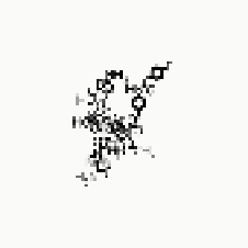 CC(C)C[C@H](NC(=O)OCc1ccc(NC(=O)Cc2ccc(F)cc2)cc1)C(=O)O[C@H]1[C@@H](O)[C@H](n2cnc3c(N)ncnc32)O[C@@H]1COP(=O)(O)O[C@H]1[C@@H](O)[C@H](n2ccc(N)nc2=O)O[C@@H]1COP(=O)(O)O